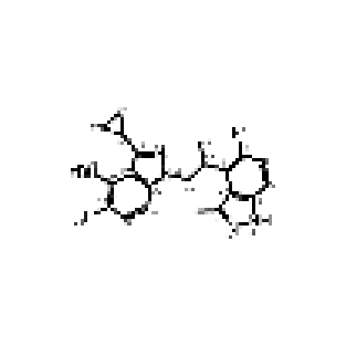 Cc1n[nH]c2ccc(F)c(C(C)Cn3nc(C4CC4)c4c(C(C)(C)C)c(F)ccc43)c12